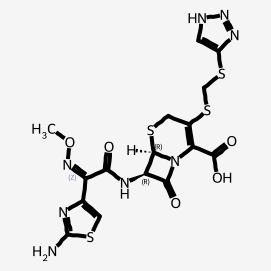 CO/N=C(\C(=O)N[C@@H]1C(=O)N2C(C(=O)O)=C(SCSc3c[nH]nn3)CS[C@H]12)c1csc(N)n1